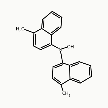 Cc1ccc(N(O)c2ccc(C)c3ccccc23)c2ccccc12